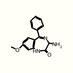 COc1ccc2c(c1)NC(=O)C(N)N=C2c1ccccc1